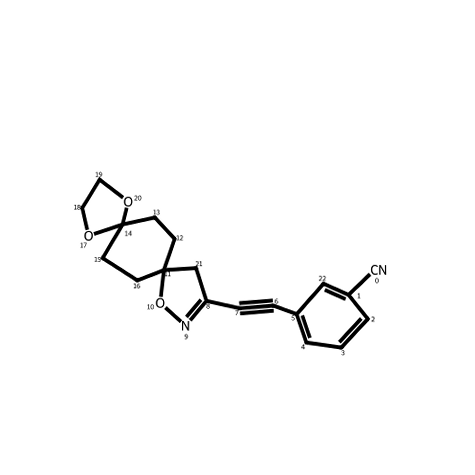 N#Cc1cccc(C#CC2=NOC3(CCC4(CC3)OCCO4)C2)c1